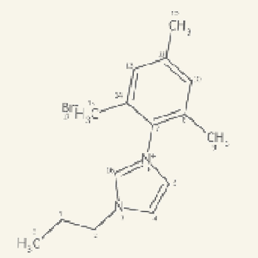 CCCn1cc[n+](-c2c(C)cc(C)cc2C)c1.[Br-]